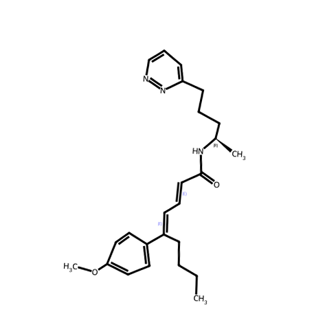 CCCC/C(=C\C=C\C(=O)N[C@H](C)CCCc1cccnn1)c1ccc(OC)cc1